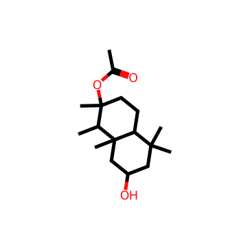 CC(=O)OC1(C)CCC2C(C)(C)CC(O)CC2(C)C1C